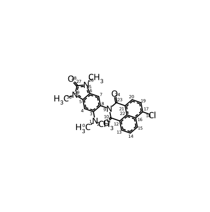 CN(C)c1cc2c(cc1N1C(=O)c3cccc4c(Cl)ccc(c34)C1=O)n(C)c(=O)n2C